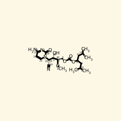 CO[C@H](COC(=O)OC(CC(C)C)CC(C)C)[C@@H](O)[C@H](C#N)n1ccc(N)nc1=O